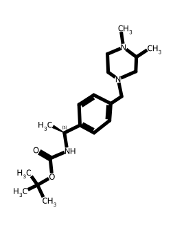 CC1CN(Cc2ccc([C@H](C)NC(=O)OC(C)(C)C)cc2)CCN1C